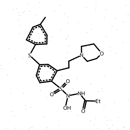 CCC(=O)NN(O)S(=O)(=O)c1ccc(Sc2ccc(C)cc2)cc1CCN1CCOCC1